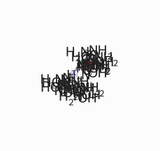 C/C(CCc1cn(C[C@H]2O[C@@H](O[C@H]3C(O[C@H]4OC(CN)C(O)[C@H](O)C4N)C(N)C[C@@H](N)C3O)[C@@H](O)C2O[C@H]2O[C@@H](CN)C(O)C(O)C2N)nn1)=C(/C)CCc1cn(C[C@H]2O[C@@H](O[C@H]3C(O[C@H]4OC(CN)C(O)[C@H](O)C4N)C(N)C[C@@H](N)C3O)[C@@H](O)C2O[C@H]2O[C@@H](CN)C(O)C(O)C2N)nn1